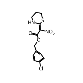 O=C(OCc1ccc(Cl)cc1)/C(=C1\NCCCS1)[N+](=O)[O-]